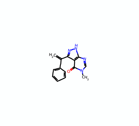 C=C(c1ccccc1)c1n[nH]c2ncn(C)c(=O)c12